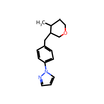 CC1[CH]COCC1Cc1ccc(-n2cccn2)cc1